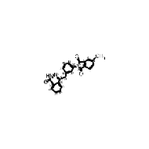 Cc1ccc2c(c1)C(=O)N(c1cccc(Cc3n[nH]c(=O)c4ccccc34)c1)C2=O